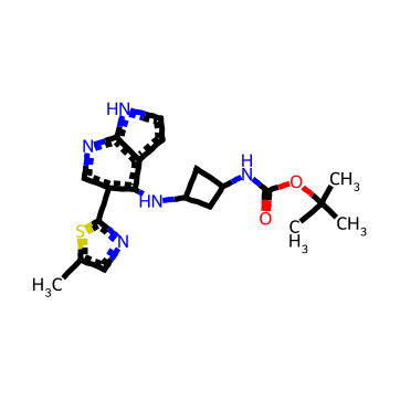 Cc1cnc(-c2cnc3[nH]ccc3c2NC2CC(NC(=O)OC(C)(C)C)C2)s1